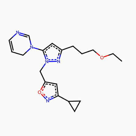 CCOCCCc1cc(N2C=NC=CC2)n(Cc2cc(C3CC3)no2)n1